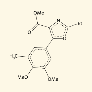 CCc1nc(C(=O)OC)c(-c2cc(C)c(OC)c(OC)c2)o1